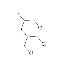 CC(CCl)CC(CCl)CCl